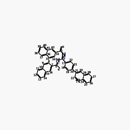 C=C(/N=C(\N=C(/C)c1ccc2ccccc2c1)c1ccc(-c2cnc3ccccc3c2)cc1)c1ccc2ccccc2c1